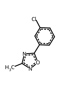 Cc1noc(-c2cccc(Cl)c2)n1